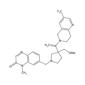 C=C(N1CCc2ncc(C(F)(F)F)cc2C1)C1(COC)CCN(Cc2ccc3ncc(=O)n(C)c3c2)C1